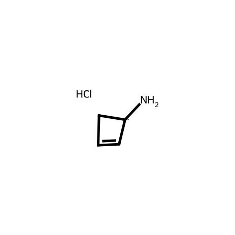 Cl.N[C]1C=CC1